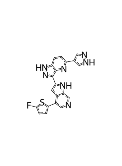 Fc1ccc(-c2cncc3[nH]c(-c4n[nH]c5ccc(-c6cn[nH]c6)nc45)cc23)s1